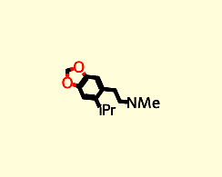 CNCCc1cc2c(cc1C(C)C)OCO2